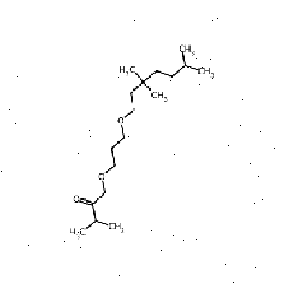 CC(C)CCC(C)(C)CCOCCCOCC(=O)C(C)C